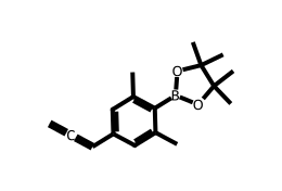 C=C=Cc1cc(C)c(B2OC(C)(C)C(C)(C)O2)c(C)c1